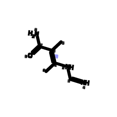 C/C(NC=N)=C(/C)C(N)=O